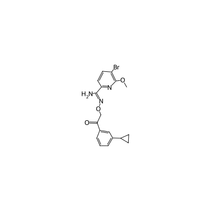 COc1nc(/C(N)=N/OCC(=O)c2cccc(C3CC3)c2)ccc1Br